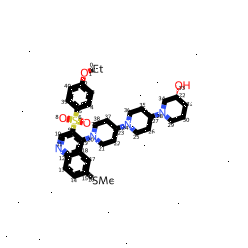 CCOc1ccc(S(=O)(=O)c2cnc3ccc(SC)cc3c2N2CCC(N3CCC(N4CCC[C@@H](O)C4)CC3)CC2)cc1